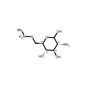 CC(C)(C)[SiH2]OC[C@H]1OC(O)[C@H](N)[C@@H](O)[C@@H]1O